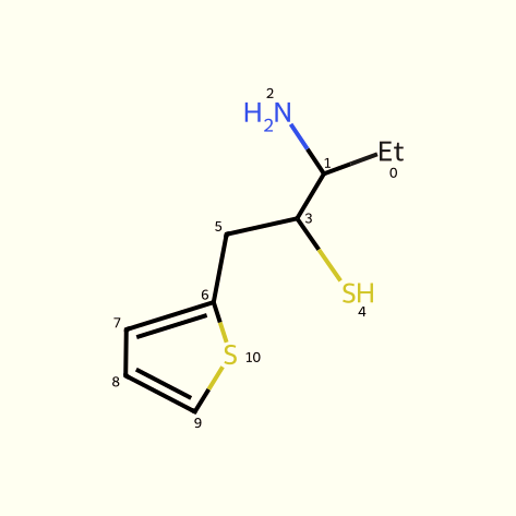 CCC(N)C(S)Cc1cccs1